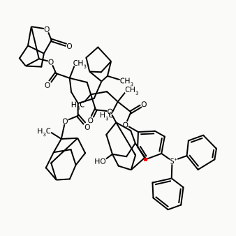 CC1C2CCC(C2)C1CC(CC(C)(CC(C)(CC(C)(C)C(=O)Oc1ccc([S+](c2ccccc2)c2ccccc2)cc1)C(=O)OC12CC3CC(CC(O)(C3)C1)C2)C(=O)OC1C2CC3C(=O)OC1C3C2)C(=O)OC1(C)C2CC3CC(C2)CC1C3